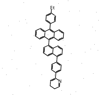 CCc1ccc(-c2c3ccccc3c(-c3cccc4c(-c5ccc(C6=CCCC=N6)cc5)cccc34)c3ccccc23)cc1